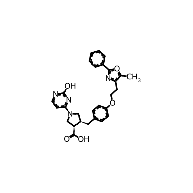 Cc1oc(-c2ccccc2)nc1CCOc1ccc(C[C@@H]2CN(c3ccnc(O)n3)C[C@@H]2C(=O)O)cc1